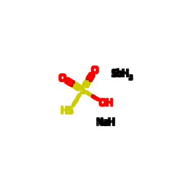 O=S(=O)(O)S.[NaH].[SbH3]